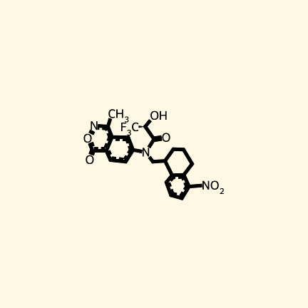 Cc1noc(=O)c2ccc(N(CC3CCCc4c3cccc4[N+](=O)[O-])C(=O)[C@@H](O)C(F)(F)F)cc12